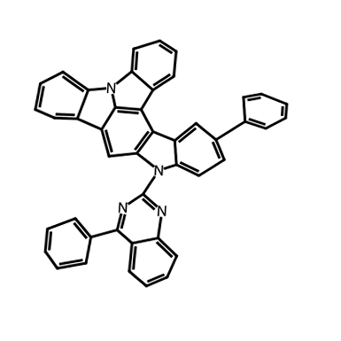 c1ccc(-c2ccc3c(c2)c2c4c5ccccc5n5c6ccccc6c(cc2n3-c2nc(-c3ccccc3)c3ccccc3n2)c45)cc1